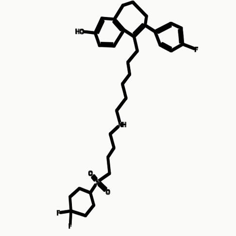 O=S(=O)(CCCCNCCCCCCC1=C(c2ccc(F)cc2)CCCc2cc(O)ccc21)C1CCC(F)(F)CC1